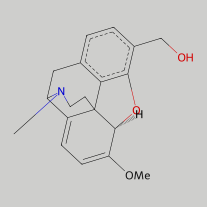 COC1=CC=C2C3Cc4ccc(CO)c5c4C2(CCN3C)[C@H]1O5